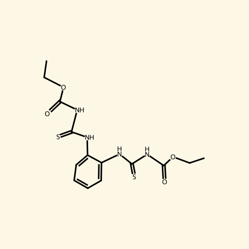 CCOC(=O)NC(=S)Nc1ccccc1NC(=S)NC(=O)OCC